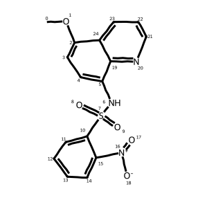 COc1ccc(NS(=O)(=O)c2ccccc2[N+](=O)[O-])c2ncccc12